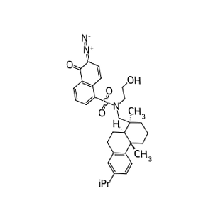 CC(C)c1ccc2c(c1)CC[C@H]1[C@@](C)(CN(CCO)S(=O)(=O)c3cccc4c3C=CC(=[N+]=[N-])C4=O)CCC[C@]21C